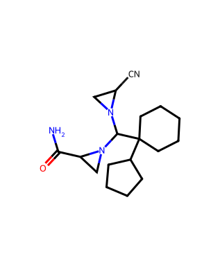 N#CC1CN1C(N1CC1C(N)=O)C1(C2CCCC2)CCCCC1